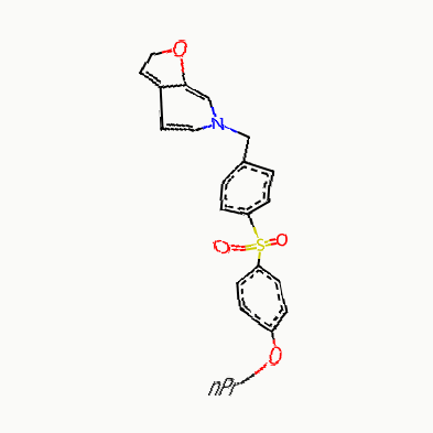 CCCOc1ccc(S(=O)(=O)c2ccc(CN3C=CC4=CCOC4=C3)cc2)cc1